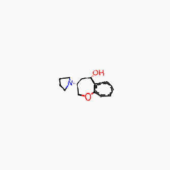 O[C@H]1C[C@@H](N2CCCC2)COc2ccccc21